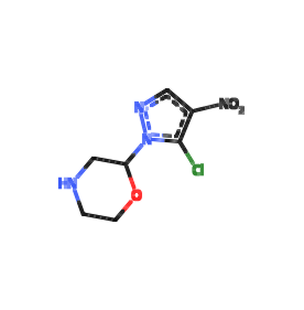 O=[N+]([O-])c1cnn(C2CNCCO2)c1Cl